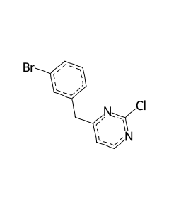 Clc1nccc(Cc2cccc(Br)c2)n1